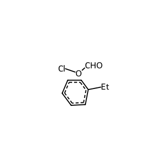 CCc1ccccc1.O=COCl